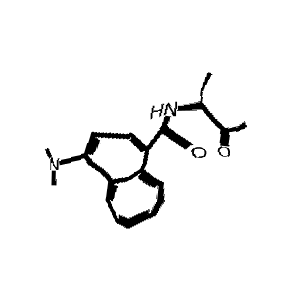 CC(=O)[C@H](C)NC(=O)c1ccc(N(C)C)c2ccccc12